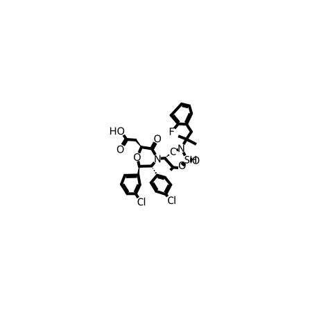 CC(C)[C@@H](CN([SH](=O)=O)C(C)(C)Cc1ccccc1F)N1C(=O)[C@H](CC(=O)O)O[C@H](c2cccc(Cl)c2)[C@H]1c1ccc(Cl)cc1